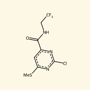 CSc1cc(C(=O)NCC(F)(F)F)nc(Cl)n1